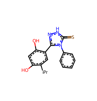 CC(C)c1cc(-c2n[nH]c(=S)n2-c2ccccc2)c(O)cc1O